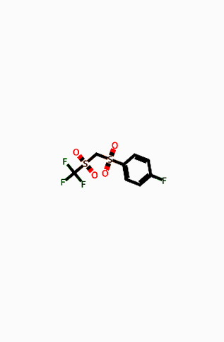 O=S(=O)(CS(=O)(=O)C(F)(F)F)c1ccc(F)cc1